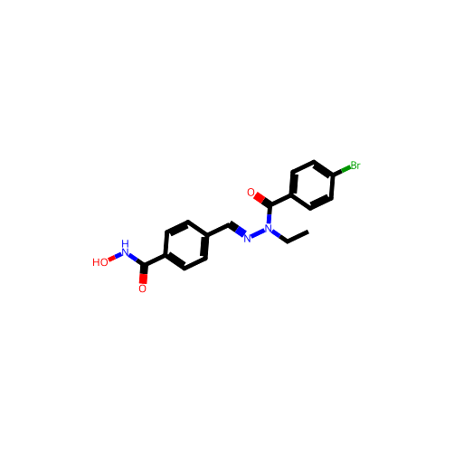 CCN(N=Cc1ccc(C(=O)NO)cc1)C(=O)c1ccc(Br)cc1